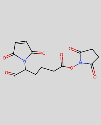 O=[C]C(CCCC(=O)ON1C(=O)CCC1=O)N1C(=O)C=CC1=O